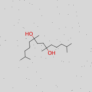 CC(C)CCCC(C)(O)CCC(C)(O)CCCC(C)C